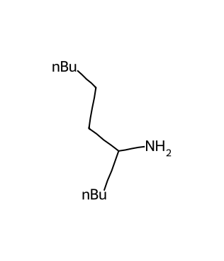 CCCCCCC(N)CCCC